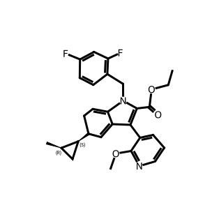 CCOC(=O)c1c(-c2cccnc2OC)c2c(n1Cc1ccc(F)cc1F)=CCC([C@H]1C[C@H]1C)C=2